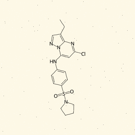 CCc1cnn2c(Nc3ccc(S(=O)(=O)N4CCCC4)cc3)cc(Cl)nc12